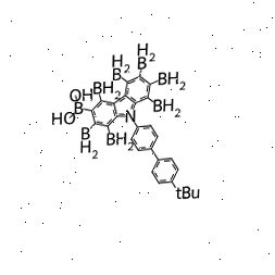 Bc1c(B)c(B)c2c(c1B)c1c(B)c(B(O)O)c(B)c(B)c1n2-c1ccc(-c2ccc(C(C)(C)C)cc2)cc1